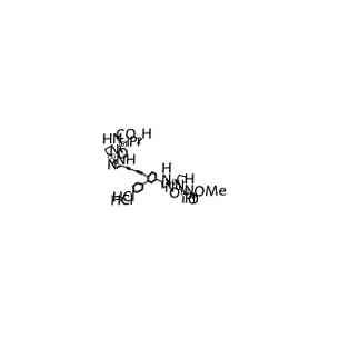 COC(=O)N[C@H](C(=O)N1CCC[C@H]1c1ncc(-c2ccc(C#CC#Cc3cnc([C@@H]4CCCN4C(=O)[C@@H](NC(=O)O)C(C)C)[nH]3)c(-c3ccccc3)c2)[nH]1)C(C)C.Cl.Cl